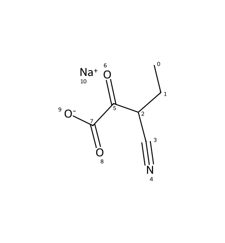 CCC(C#N)C(=O)C(=O)[O-].[Na+]